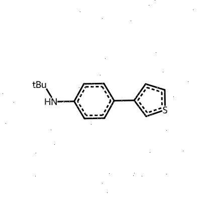 CC(C)(C)Nc1ccc(-c2ccsc2)cc1